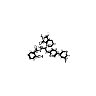 CN1C(=O)C2=C(C1=O)N(C(CNC(=O)c1ccccc1O)Cc1ccc(-c3cncc(F)c3)cn1)CCC2